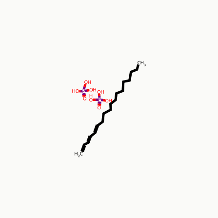 C=CC=CC=CCCCCCCCCCCCC.O=P(O)(O)O.O=P(O)(O)O